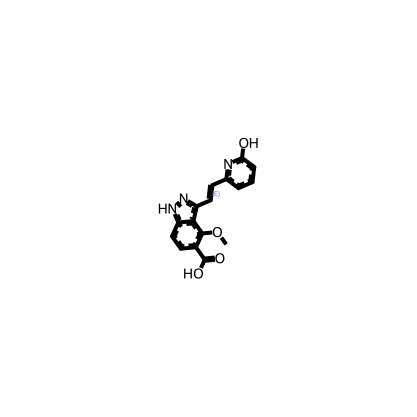 COc1c(C(=O)O)ccc2[nH]nc(/C=C/c3cccc(O)n3)c12